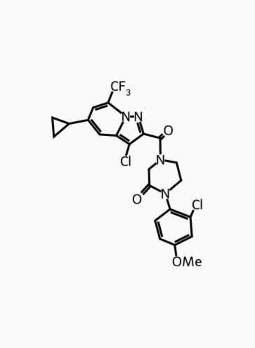 COc1ccc(N2CCN(C(=O)c3nn4c(C(F)(F)F)cc(C5CC5)cc4c3Cl)CC2=O)c(Cl)c1